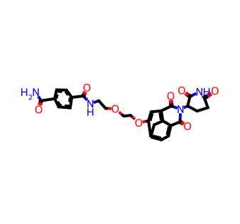 NC(=O)c1ccc(C(=O)NCCOCCOC2=CC3=C4CC2=CC=C4C(=O)N(C2CCC(=O)NC2=O)C3=O)cc1